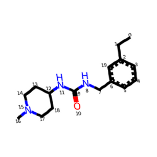 CCc1cccc(CNC(=O)NC2CCN(C)CC2)c1